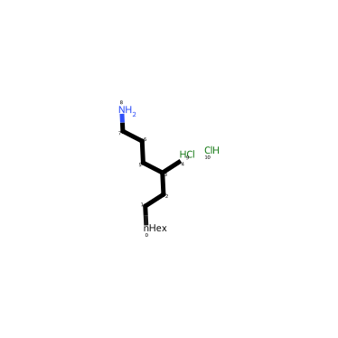 CCCCCCCCC(C)CCCN.Cl.Cl